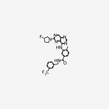 Cc1ccc(C(=O)NCc2cccc(C(F)(F)F)c2)cc1Nc1ncnc2cnc(N3CC[C@@H](F)C3)nc12